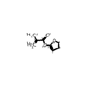 C=C(C)C(=O)OC1=CCCO1